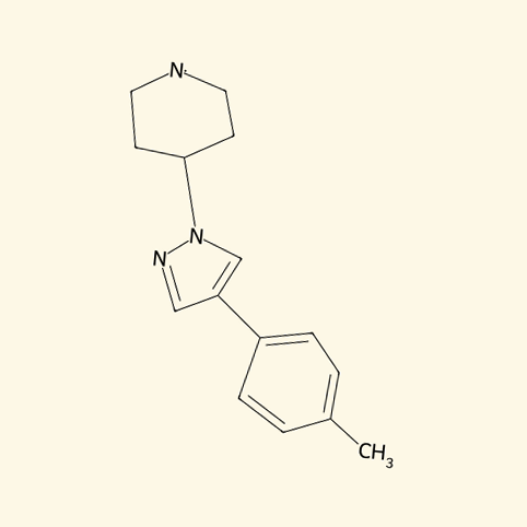 Cc1ccc(-c2cnn(C3CC[N]CC3)c2)cc1